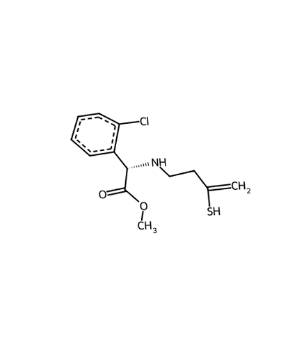 C=C(S)CCN[C@H](C(=O)OC)c1ccccc1Cl